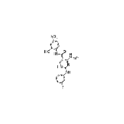 CCCNC1=NC(Nc2cccc(F)c2)NC=C1C(=O)Nc1ccc([N+](=O)[O-])cc1O